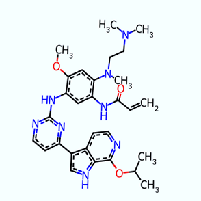 C=CC(=O)Nc1cc(Nc2nccc(-c3c[nH]c4c(OC(C)C)nccc34)n2)c(OC)cc1N(C)CCN(C)C